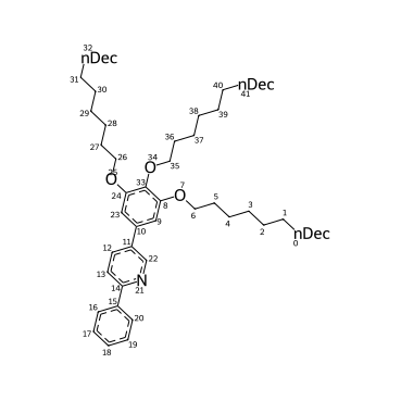 CCCCCCCCCCCCCCCCOc1cc(-c2ccc(-c3ccccc3)nc2)cc(OCCCCCCCCCCCCCCCC)c1OCCCCCCCCCCCCCCCC